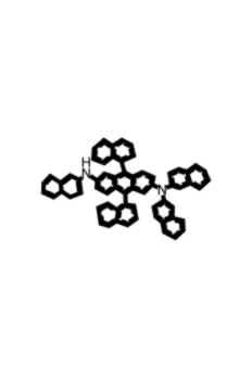 C1=CC2=CC(Nc3ccc4c(-c5cccc6ccccc56)c5cc(N(c6ccc7ccccc7c6)c6ccc7ccccc7c6)ccc5c(-c5cccc6ccccc56)c4c3)=CCC2C=C1